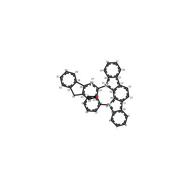 c1ccc(-n2c3ccccc3c3ccc4c5ccccc5n(-c5ccc6c(n5)-c5ccccc5C6)c4c32)cc1